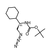 CC(C)(C)OC(=O)N[C@@H](CN=[N+]=[N-])C1CCCCC1